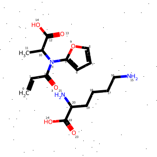 C=CC(=O)N(c1ccco1)C(C)C(=O)O.NCCCCC(N)C(=O)O